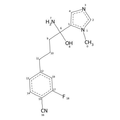 Cn1cncc1C(N)(O)CCCc1ccc(C#N)c(F)c1